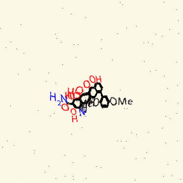 COc1ccc(OC)c(-c2ccc(O)c3c2C[C@H]2C[C@H]4[C@H](N(C)C)C(O)=C(C(N)=O)C(=O)[C@@]4(O)C(O)=C2C3=O)c1